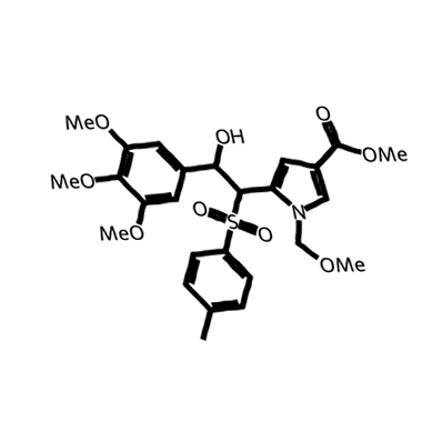 COCn1cc(C(=O)OC)cc1C(C(O)c1cc(OC)c(OC)c(OC)c1)S(=O)(=O)c1ccc(C)cc1